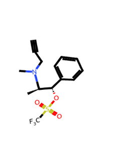 C#CCN(C)[C@H](C)[C@@H](OS(=O)(=O)C(F)(F)F)c1ccccc1